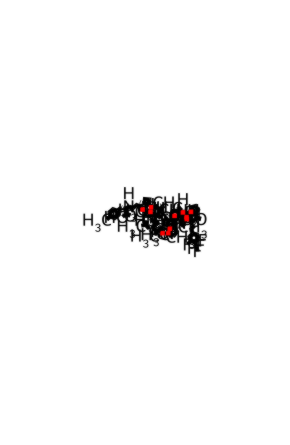 CC[C@H](C)[C@H](NC(=O)[C@H](CC(C)C)N(C)C(=O)C[C@@H](C(=O)N(C)C)N(C)C(=O)[C@H](C1CCCC1)N(C)C(=O)C1(NC(=O)[C@@H]2CCCN2C(=O)[C@H](CCc2cc(F)c(C(F)(F)F)c(F)c2)NC(=O)CNC)CCCC1)C(=O)N(C)[C@@H](C)C(=O)N1CC[C@H]1C(=O)CCN[C@@H](Cc1ccc(C)cc1)C(=O)O